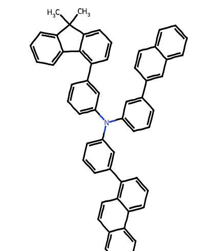 CC1(C)c2ccccc2-c2c(-c3cccc(N(c4cccc(-c5ccc6ccccc6c5)c4)c4cccc(-c5cccc6c5ccc5ccccc56)c4)c3)cccc21